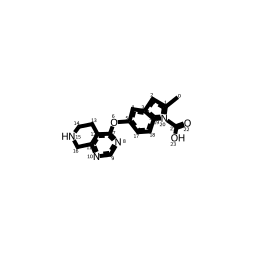 Cc1cc2cc(Oc3ncnc4c3CCNC4)ccc2n1C(=O)O